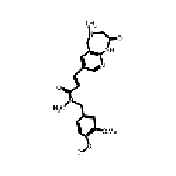 CCOc1ccc(CN(C)C(=O)/C=C/c2cnc3c(c2)CN(C)CC(=O)N3)cc1OC